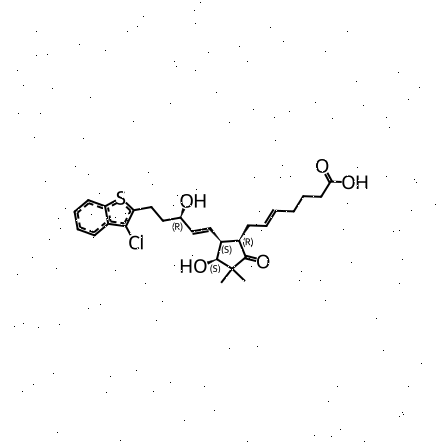 CC1(C)C(=O)[C@H](CC=CCCCC(=O)O)[C@H](C=C[C@H](O)CCc2sc3ccccc3c2Cl)[C@@H]1O